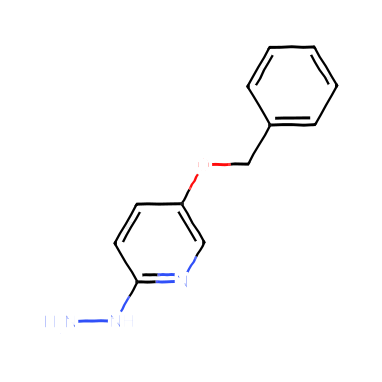 NNc1ccc(OCc2ccccc2)cn1